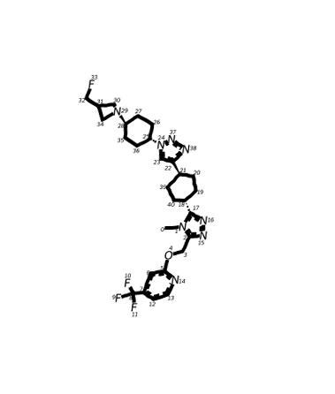 Cn1c(COc2cc(C(F)(F)F)ccn2)nnc1[C@H]1CC[C@H](c2cn([C@H]3CC[C@H](N4CC(CF)C4)CC3)nn2)CC1